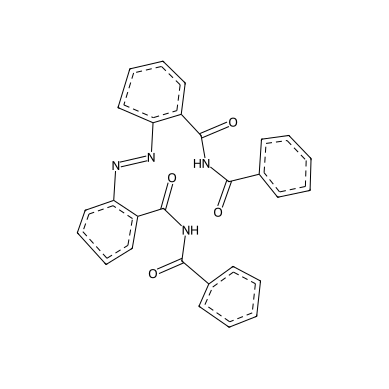 O=C(NC(=O)c1ccccc1N=Nc1ccccc1C(=O)NC(=O)c1ccccc1)c1ccccc1